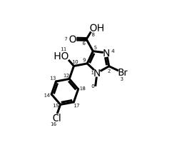 Cn1c(Br)nc(C(=O)O)c1C(O)c1ccc(Cl)cc1